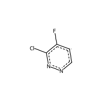 Fc1[c]cnnc1Cl